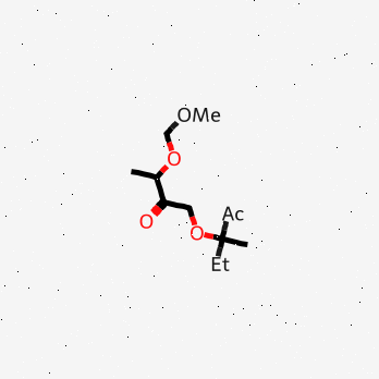 CCC(C)(OCC(=O)C(C)OCOC)C(C)=O